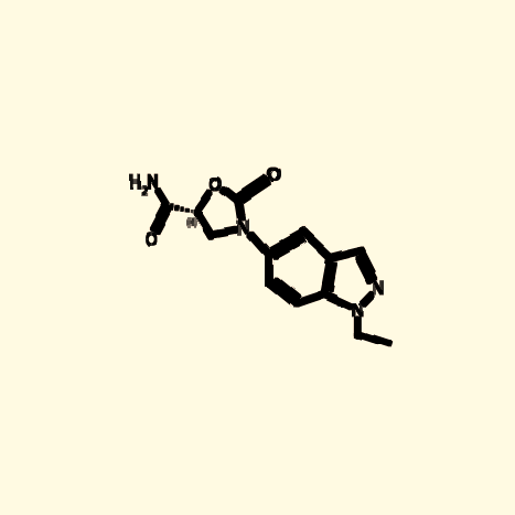 CCn1ncc2cc(N3C[C@H](C(N)=O)OC3=O)ccc21